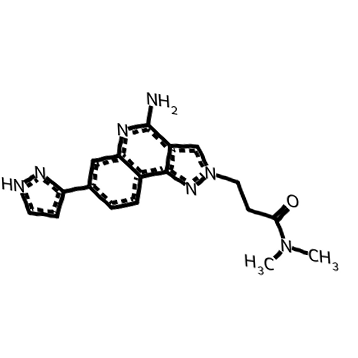 CN(C)C(=O)CCn1cc2c(N)nc3cc(-c4cc[nH]n4)ccc3c2n1